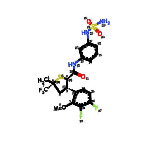 COc1c([C@@H]2C[C@](C)(C(F)(F)F)S[C@H]2C(=O)Nc2cccc(NS(N)(=O)=O)c2)ccc(F)c1F